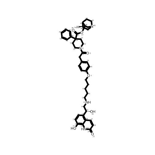 O=C(Cc1ccc(OCCCCCNC[C@H](O)c2ccc(O)c3[nH]c(=O)ccc23)cc1)N1CCC(C(=O)O[C@H]2CN3CCC2CC3)(c2ccccc2)CC1